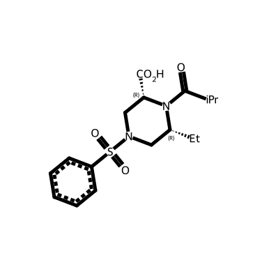 CC[C@@H]1CN(S(=O)(=O)c2ccccc2)C[C@H](C(=O)O)N1C(=O)C(C)C